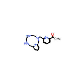 COC(=O)c1cccc(CN2CCNCCNCc3cccc(n3)C2)n1